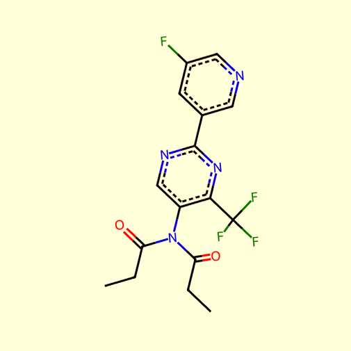 CCC(=O)N(C(=O)CC)c1cnc(-c2cncc(F)c2)nc1C(F)(F)F